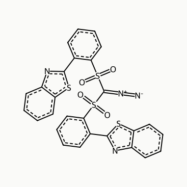 [N-]=[N+]=C(S(=O)(=O)c1ccccc1-c1nc2ccccc2s1)S(=O)(=O)c1ccccc1-c1nc2ccccc2s1